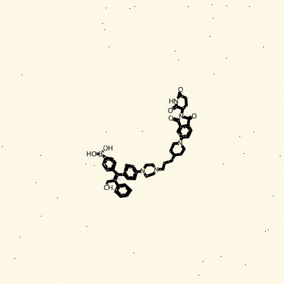 CC/C(=C(\c1ccc(B(O)O)cc1)c1ccc(N2CCN(CCCC3CCN(c4ccc5c(c4)C(=O)N(C4CCC(=O)NC4=O)C5=O)CC3)CC2)cc1)c1ccccc1